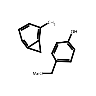 COCc1ccc(O)cc1.Cc1cccc2c1C2